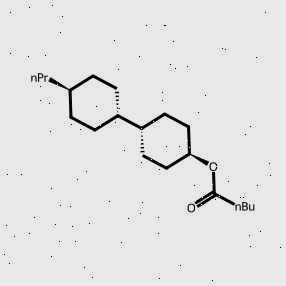 CCCCC(=O)O[C@H]1CC[C@H]([C@H]2CC[C@H](CCC)CC2)CC1